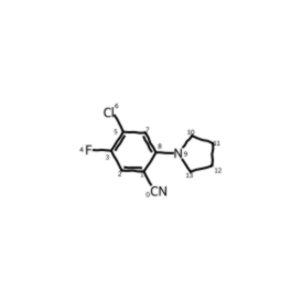 N#Cc1cc(F)c(Cl)cc1N1CCCC1